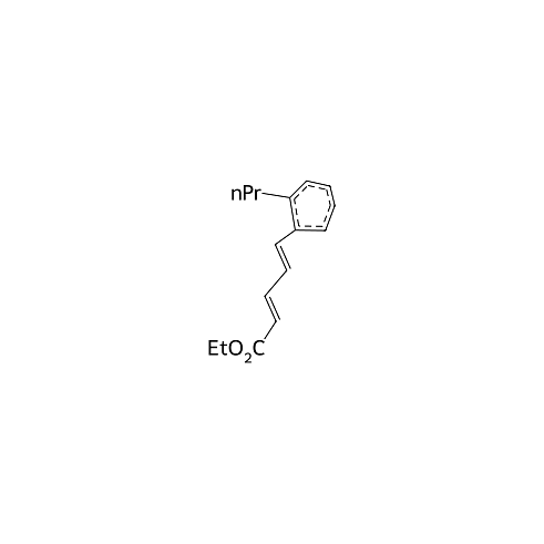 CCCc1ccccc1/C=C/C=C/C(=O)OCC